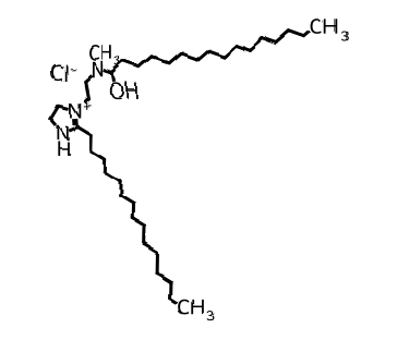 CCCCCCCCCCCCCCCC1=[N+](CCN(C)C(O)CCCCCCCCCCCCCCC)CCN1.[Cl-]